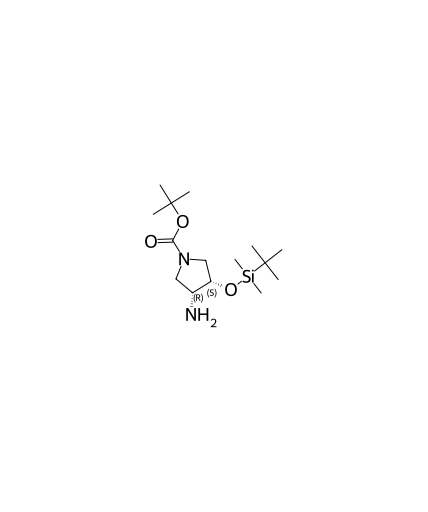 CC(C)(C)OC(=O)N1C[C@@H](N)[C@@H](O[Si](C)(C)C(C)(C)C)C1